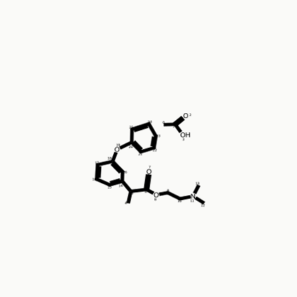 CC(=O)O.CC(C(=O)OCCN(C)C)c1cccc(Oc2ccccc2)c1